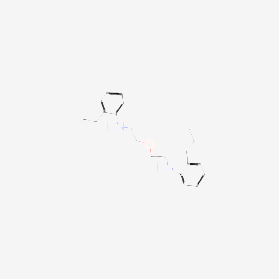 CCCc1ccccc1NCCOCCNc1ccccc1CCC